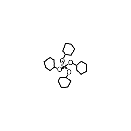 C1CCC(O[Si](OC2CCCCC2)(OC2CCCCC2)OC2CCCCC2)CC1